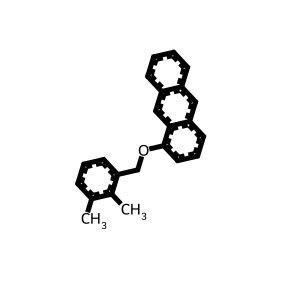 Cc1cccc(COc2cccc3cc4ccccc4cc23)c1C